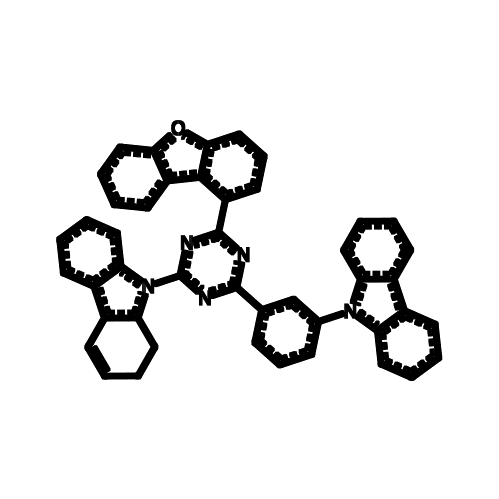 C1=Cc2c(n(-c3nc(-c4cccc(-n5c6ccccc6c6ccccc65)c4)nc(-c4cccc5oc6ccccc6c45)n3)c3ccccc23)CC1